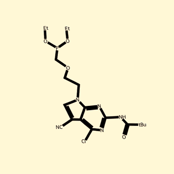 CCOP(COCCn1cc(C#N)c2c(Cl)nc(NC(=O)C(C)(C)C)nc21)OCC